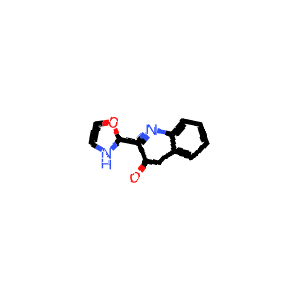 O=C1Cc2ccccc2N=C1C1NC=CO1